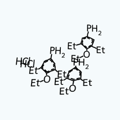 CCOc1c(CC)cc(P)cc1CC.CCOc1c(CC)cc(P)cc1CC.CCOc1c(CC)cc(P)cc1CC.Cl.Cl